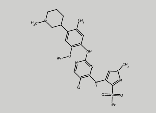 Cc1cc(Nc2ncc(Cl)c(Nc3cn(C)nc3S(=O)(=O)C(C)C)n2)c(OC(C)C)cc1C1CCCN(C)C1